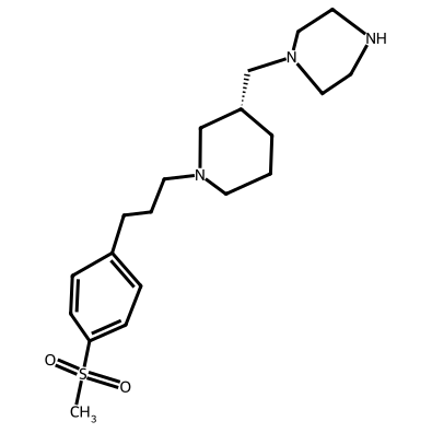 CS(=O)(=O)c1ccc(CCCN2CCC[C@@H](CN3CCNCC3)C2)cc1